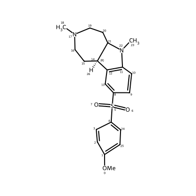 COc1ccc(S(=O)(=O)c2ccc3c(c2)[C@H]2CCN(C)CCC2N3C)cc1